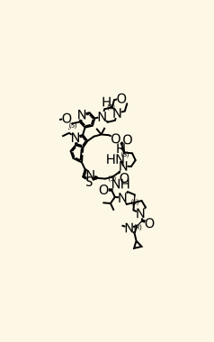 CCn1c(-c2cc(N3CCN4CCOC[C@@H]4C3)cnc2[C@H](C)OC)c2c3cc(ccc31)-c1csc(n1)C[C@H](NC(=O)C(C(C)C)N1CC[C@]3(CCN(C(=O)[C@H]4C(C5CC5)N4C)C3)C1)C(=O)N1CCC[C@H](N1)C(=O)OCC(C)(C)C2